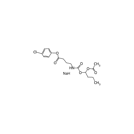 CCCC(OC(C)=O)OC(=O)NCCCC(=O)Oc1ccc(Cl)cc1.[NaH]